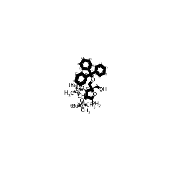 B[C@@H]1O[C@@](CO)(COC(c2ccccc2)(c2ccccc2)c2ccccc2)[C@@H](O[Si](C)(C)C(C)(C)C)C1O[Si](C)(C)C(C)(C)C